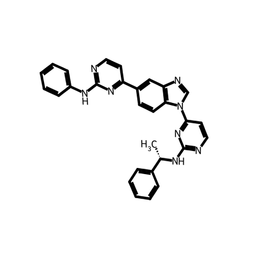 C[C@H](Nc1nccc(-n2cnc3cc(-c4ccnc(Nc5ccccc5)n4)ccc32)n1)c1ccccc1